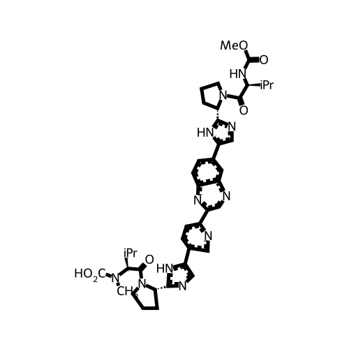 COC(=O)N[C@H](C(=O)N1CCC[C@H]1c1ncc(-c2ccc3nc(-c4ccc(-c5cnc([C@@H]6CCCN6C(=O)[C@H](C(C)C)N(C)C(=O)O)[nH]5)cn4)cnc3c2)[nH]1)C(C)C